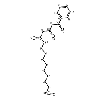 CCCCCCCCCCCCCCCCCCOC(=O)CC(=O)CC(=O)c1ccccc1